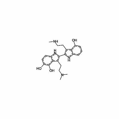 CNCCc1c(-c2[nH]c3ccc(O)c(O)c3c2CCN(C)C)[nH]c2cccc(O)c12